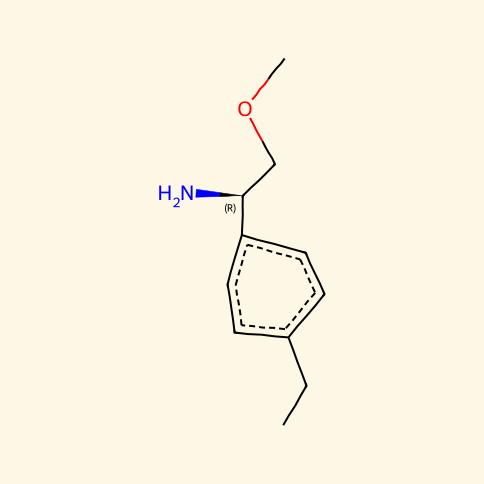 CCc1ccc([C@@H](N)COC)cc1